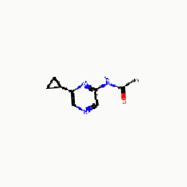 CC(C)C(=O)Nc1cncc(C2CC2)n1